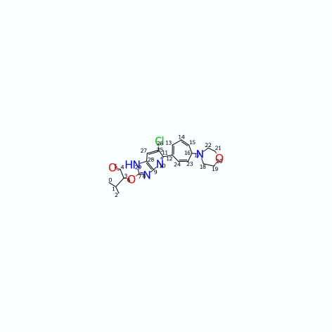 CC(C)C(C=O)Oc1nc2nc(C3=CC=CC(N4CCOCC4)C=C3)c(Cl)cc2[nH]1